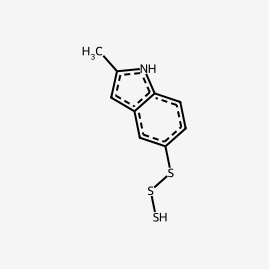 Cc1cc2cc(SSS)ccc2[nH]1